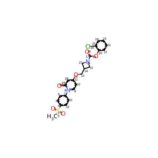 CS(=O)(=O)c1ccc(-n2ccc(OCC3CN(C(=O)Oc4ccccc4Cl)C3)cc2=O)cc1